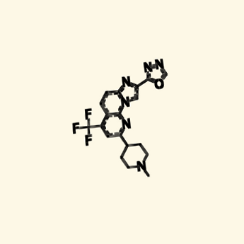 CN1CCC(c2cc(C(F)(F)F)c3ccc4nc(-c5nnco5)cn4c3n2)CC1